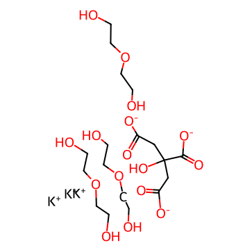 O=C([O-])CC(O)(CC(=O)[O-])C(=O)[O-].OCCOCCO.OCCOCCO.OCCOCCO.[K+].[K+].[K+]